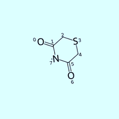 O=C1CSCC(=O)[N]1